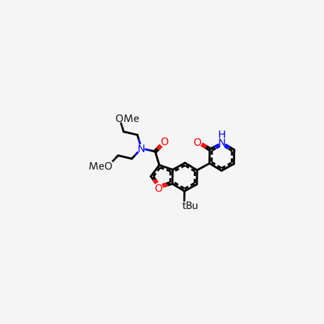 COCCN(CCOC)C(=O)c1coc2c(C(C)(C)C)cc(-c3ccc[nH]c3=O)cc12